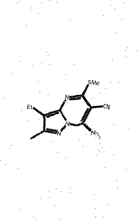 CCc1c(C)nn2c(N)c(C#N)c(SC)nc12